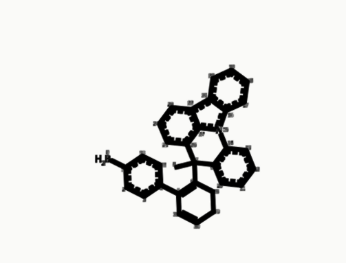 Bc1ccc(C2=C(C3(C)c4ccccc4-n4c5ccccc5c5cccc3c54)CCC=C2)cc1